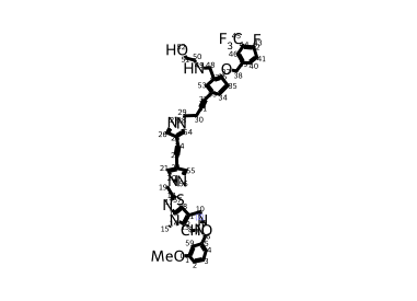 COc1cccc(CN(C)/N=C\c2c(C=O)n(C)c3nc(Cn4cc(C#Cc5cnn(CCC#Cc6ccc(OCc7ccc(F)c(C(F)(F)F)c7)c(CNCCO)c6)c5)cn4)sc23)c1